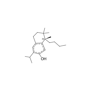 CCCC[C@]1(C)c2cc(O)c(C(C)C)cc2CCC1(C)C